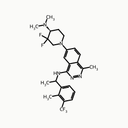 Cc1c(C(C)Nc2nnc(C)c3ccc(N4CC[C@H](N(C)C)C(F)(F)C4)cc23)cccc1C(F)(F)F